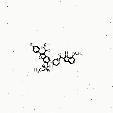 CCS(=O)(=O)Nc1cc2oc(-c3ccc(F)cc3)c(C(=O)NC)c2cc1[C@H]1CCCN(C(=O)c2cc3cccc(OC)c3[nH]2)C1